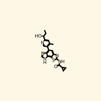 CC[C@@H](O)c1cc(C)c(-c2cc3nc(NC(=O)C4CC4)sc3c3[nH]cnc23)cn1